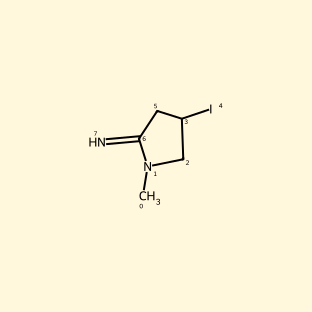 CN1CC(I)CC1=N